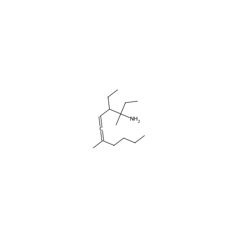 CCCCC(C)=C=CC(CC)C(C)(N)CC